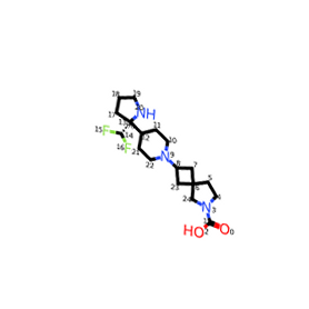 O=C(O)N1CCC2(CC(N3CCC([C@@]4(C(F)F)CCCN4)CC3)C2)C1